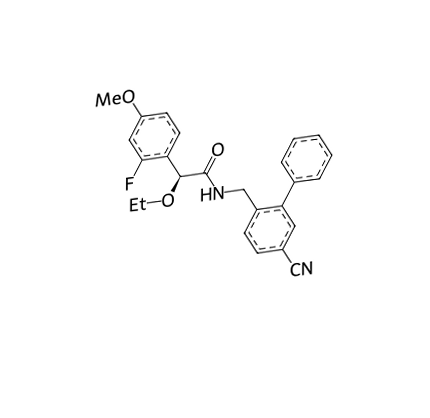 CCO[C@H](C(=O)NCc1ccc(C#N)cc1-c1ccccc1)c1ccc(OC)cc1F